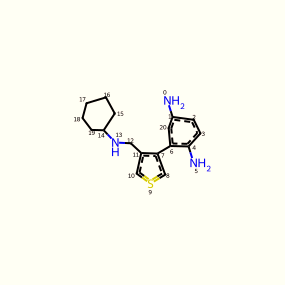 Nc1ccc(N)c(-c2cscc2CNC2CCCCC2)c1